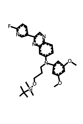 COc1cc(OC)cc(N(CCCO[Si](C)(C)C(C)(C)C)c2ccc3ncc(-c4ccc(F)nc4)nc3c2)c1